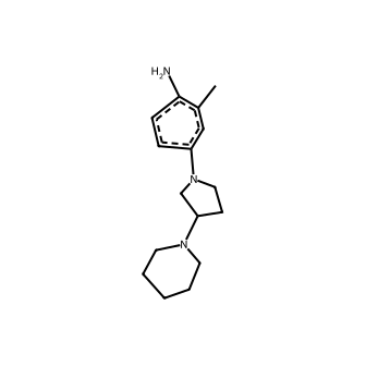 Cc1cc(N2CCC(N3CCCCC3)C2)ccc1N